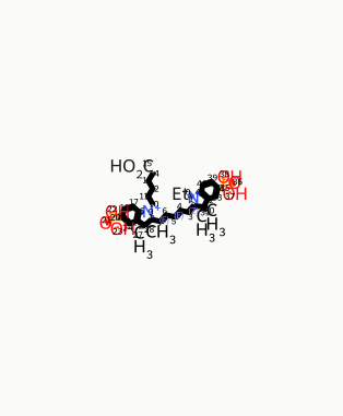 CCN1\C(=C/C=C/C=C/C2=[N+](CCCCCC(=O)O)c3ccc(P(=O)(O)O)cc3C2(C)C)C(C)(C)c2cc(P(=O)(O)O)ccc21